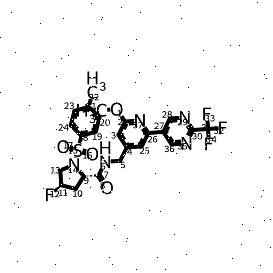 COc1cc(CNC(=O)[C@@H]2C[C@@H](F)CN2S(=O)(=O)c2ccc(C)cc2)cc(-c2cnc(C(F)(F)F)nc2)n1